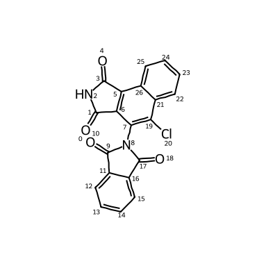 O=C1NC(=O)c2c1c(N1C(=O)c3ccccc3C1=O)c(Cl)c1ccccc21